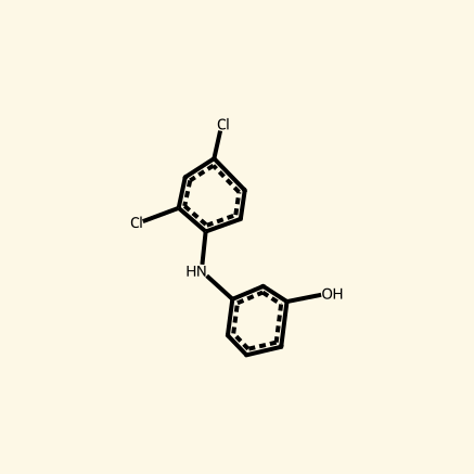 Oc1cccc(Nc2ccc(Cl)cc2Cl)c1